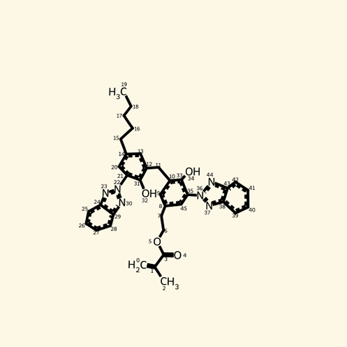 C=C(C)C(=O)OCCc1cc(Cc2cc(CCCCC)cc(-n3nc4ccccc4n3)c2O)c(O)c(-n2nc3ccccc3n2)c1